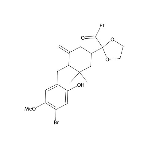 C=C1CC(C2(C(=O)CC)OCCO2)CC(C)(C)C1Cc1cc(OC)c(Br)cc1O